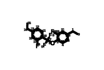 CCc1ccc(OC(F)(F)c2ccc(CC)cc2F)c(F)c1